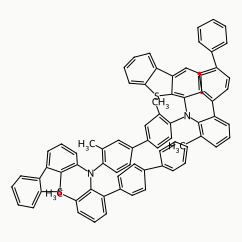 Cc1cc(-c2ccc(N(c3c(C)cccc3-c3ccc(-c4ccccc4)cc3)c3cccc4c3sc3ccccc34)c(C)c2)ccc1N(c1c(C)cccc1-c1ccc(-c2ccccc2)cc1)c1cccc2c1sc1ccccc12